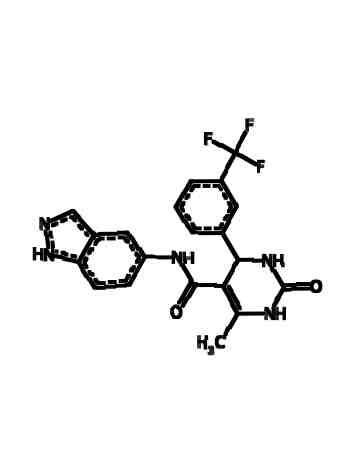 CC1=C(C(=O)Nc2ccc3[nH]ncc3c2)C(c2cccc(C(F)(F)F)c2)NC(=O)N1